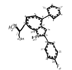 NC(O)c1ccc(-c2ccncc2)c2cc(-c3ccc(F)cc3)[nH]c12